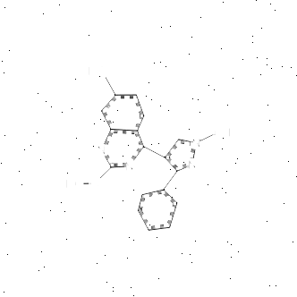 COc1nc(-c2cn(C)nc2-c2ccccc2)c2ccc(O)cc2n1